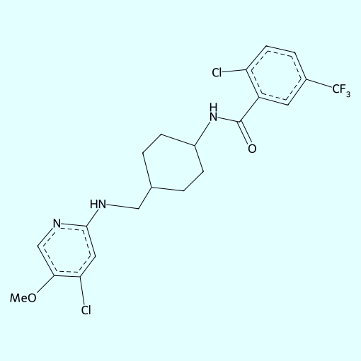 COc1cnc(NCC2CCC(NC(=O)c3cc(C(F)(F)F)ccc3Cl)CC2)cc1Cl